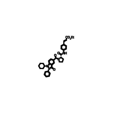 CCOC(=O)/C=C/c1ccc(NC(=O)[C@@H]2CCCN2C(=O)c2ccc3c(c2)c(=O)n(-c2ccccc2)n3C2CCCCC2)cc1